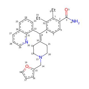 CCc1c(C(N)=O)ccc(C(=C2CCN(Cc3ccco3)CC2)c2cccc3cccnc23)c1CC